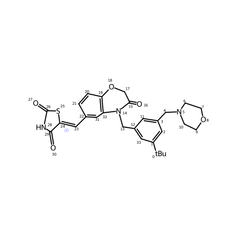 CC(C)(C)c1cc(CN2CCOCC2)cc(CN2C(=O)COc3ccc(/C=C4\SC(=O)NC4=O)cc32)c1